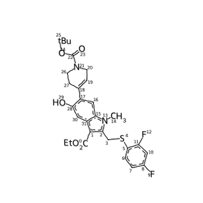 CCOC(=O)c1c(CSc2ccc(F)cc2F)n(C)c2cc(C3=CCN(C(=O)OC(C)(C)C)CC3)c(O)cc12